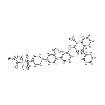 COC(=O)C(C)(C)S(=O)(=O)N1CCC(c2ccc(-c3cccc(OC(CC(C)(C)C)O[SiH](c4ccccc4)c4ccccc4)c3)c(C)c2)CC1